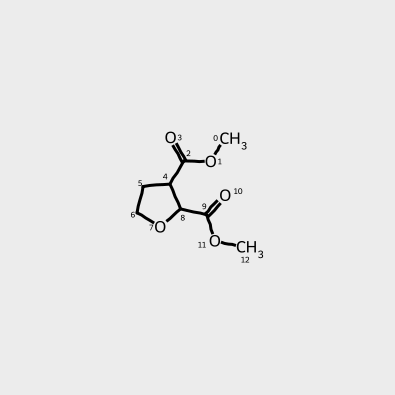 COC(=O)C1CCOC1C(=O)OC